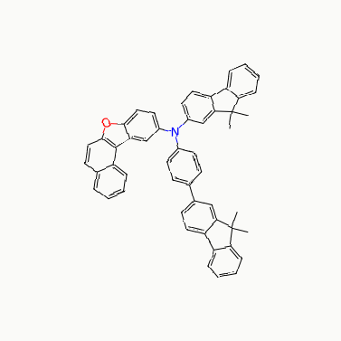 CC1(C)c2ccccc2-c2ccc(-c3ccc(N(c4ccc5c(c4)C(C)(C)c4ccccc4-5)c4ccc5oc6ccc7ccccc7c6c5c4)cc3)cc21